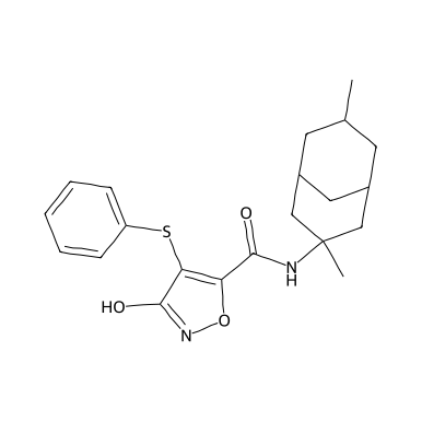 CC1CC2CC(C1)CC(C)(NC(=O)c1onc(O)c1Sc1ccccc1)C2